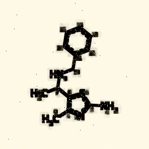 Cc1nc(N)sc1C(C)NCc1ccccc1